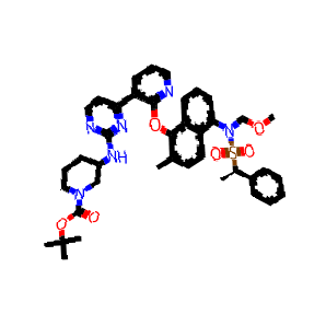 COCN(c1cccc2c(Oc3ncccc3-c3ccnc(NC4CCCN(C(=O)OC(C)(C)C)C4)n3)c(C)ccc12)S(=O)(=O)[C@H](C)c1ccccc1